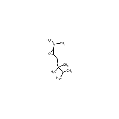 CN(C)C1OC1CCC(C)(C)N(C)C